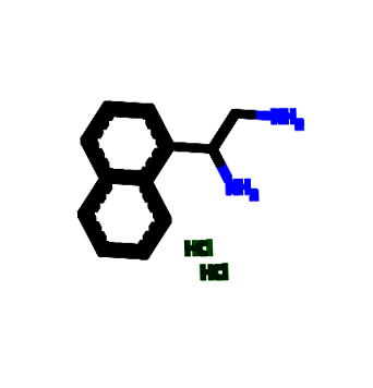 Cl.Cl.NCC(N)c1cccc2ccccc12